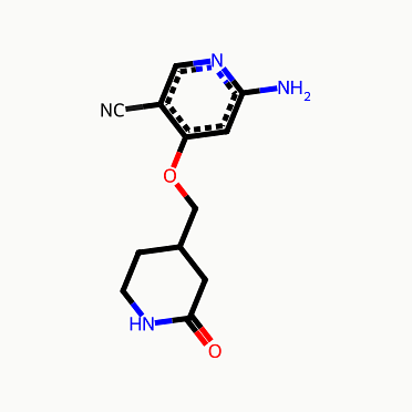 N#Cc1cnc(N)cc1OCC1CCNC(=O)C1